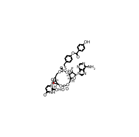 Nc1ncnc2c1ncn2[C@@H]1O[C@@H]2COP(=O)(O)O[C@@H]3[C@H](F)C(COP(=O)(SCc4ccc(OC(=O)c5ccc(O)cc5)cc4)O[C@H]2[C@H]1F)O[C@H]3n1ccc(=O)[nH]c1=O